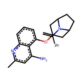 C=C(C(C)C)N1C2CCC1CC(Oc1cccc3nc(C)cc(N)c13)C2